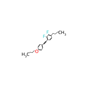 CCCCOc1ccc(C#Cc2ccc(CCCC)c(F)c2F)cc1